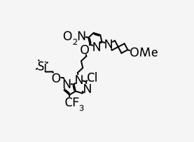 COC1CC2(C1)CN(c1ccc([N+](=O)[O-])c(OCCCCN3c4c(c(C(F)(F)F)cn4COCC[Si](C)(C)C)C=NC3Cl)n1)C2